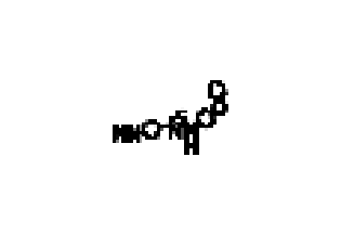 c1ccc(Oc2ccc(Nc3nc(-c4ccc(-n5ccnc5)cc4)cs3)cc2)cc1